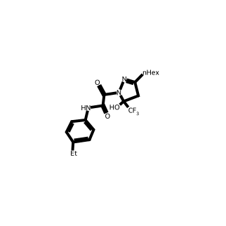 CCCCCCC1=NN(C(=O)C(=O)Nc2ccc(CC)cc2)C(O)(C(F)(F)F)C1